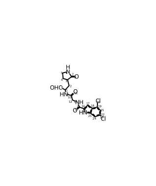 O=CC(CC1CCNC1=O)NC(=O)CNC(=O)c1cc2c(Cl)cc(Cl)cc2[nH]1